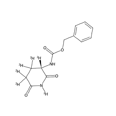 [2H]N1C(=O)C([2H])([2H])C([2H])([2H])[C@]([2H])(NC(=O)OCc2ccccc2)C1=O